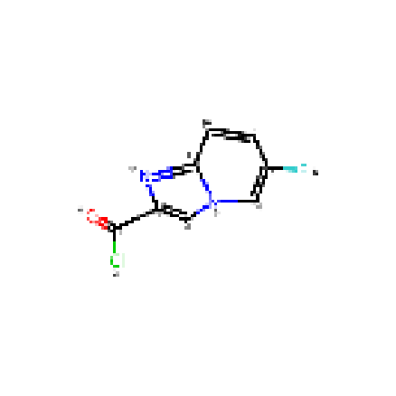 O=C(Cl)c1cn2cc(F)ccc2n1